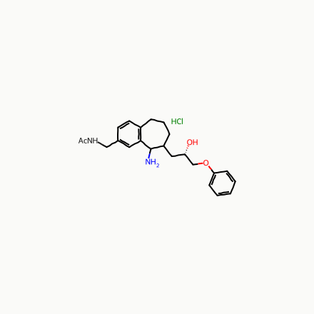 CC(=O)NCc1ccc2c(c1)C(N)C(C[C@H](O)COc1ccccc1)CCC2.Cl